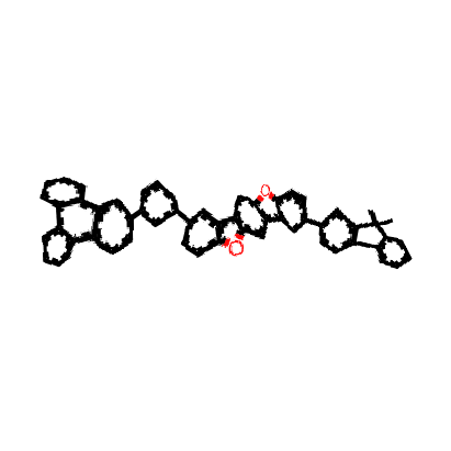 CC1(C)c2ccccc2-c2ccc(-c3ccc4oc5cc6c(cc5c4c3)oc3ccc(-c4cccc(-c5ccc7c8ccccc8c8ccccc8c7c5)c4)cc36)cc21